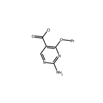 CC(C)Oc1nc(N)ncc1C(=O)Cl